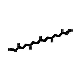 N=NNCCNCCNCCNCCNN=N